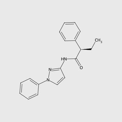 CC[C@@H](C(=O)Nc1ccn(-c2ccccc2)n1)c1ccccc1